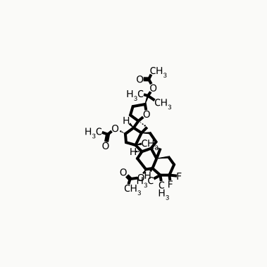 CC(=O)O[C@H]1C[C@@]2(C)[C@@H]3C[C@H](OC(C)=O)[C@H]4C(C)(C)C(F)(F)CC[C@@]45C[C@@]35CC[C@@]23C[C@@]2(CC[C@@H](C(C)(C)OC(C)=O)O2)[C@@H]13